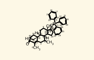 CC1=C2CC(C)[C@@H]3[C@@H](CC[C@]4(C)C(O[Si](c5ccccc5)(c5ccccc5)c5ccccc5)CC[C@@H]34)[C@@]2(CO)CCC1=O